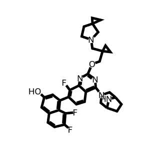 Oc1cc(-c2ccc3c(N4CC5CCC(C4)N5)nc(OCC4(CN5CCC6(CC6)C5)CC4)nc3c2F)c2c(F)c(F)ccc2c1